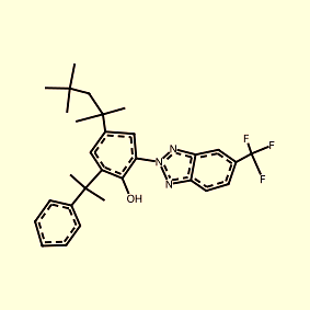 CC(C)(C)CC(C)(C)c1cc(-n2nc3ccc(C(F)(F)F)cc3n2)c(O)c(C(C)(C)c2ccccc2)c1